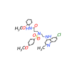 COc1ccc(S(=O)(=O)N(CCNc2cc(C)nc3ccc(Cl)cc23)CCC(=O)Nc2ccccc2OC)cc1